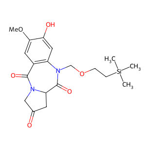 COc1cc2c(cc1O)N(COCC[Si](C)(C)C)C(=O)C1CC(=O)CN1C2=O